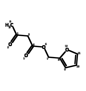 CC(=O)CC(=O)OCc1ccco1